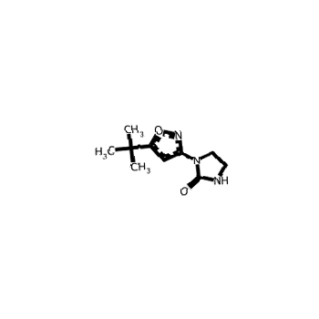 CC(C)(C)c1cc(N2CCNC2=O)no1